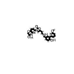 COc1cccc(-c2cc(CNCCC3CN(c4ccc5c(n4)NC(=O)CO5)C(=O)O3)ccc2O)n1